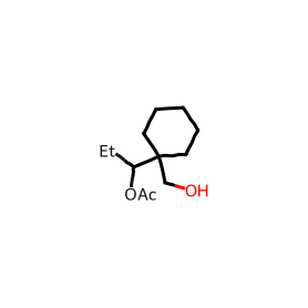 CCC(OC(C)=O)C1(CO)CCCCC1